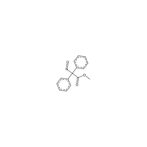 COC(=O)C(N=O)(c1ccccc1)c1ccccc1